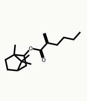 C=C(CCCC)C(=O)OC1CC2CCC1(C)C2(C)C